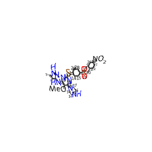 COc1c(Nc2cc(C)[nH]n2)nc(Sc2ccc(S(=O)(=O)Cc3ccc([N+](=O)[O-])cc3)cc2)nc1N1CCNCC1